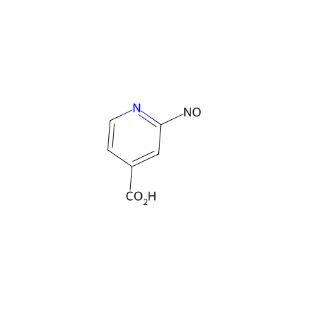 O=Nc1cc(C(=O)O)ccn1